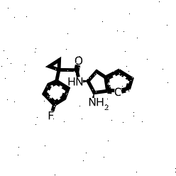 N[C@H]1c2ccccc2C[C@@H]1NC(=O)C1(c2ccc(F)cc2)CC1